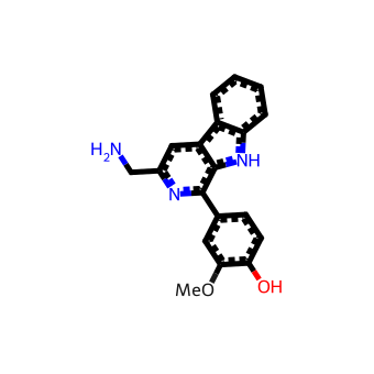 COc1cc(-c2nc(CN)cc3c2[nH]c2ccccc23)ccc1O